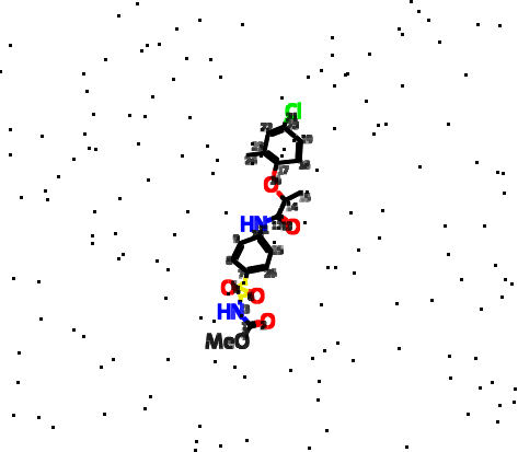 COC(=O)NS(=O)(=O)c1ccc(NC(=O)C(C)Oc2ccc(Cl)cc2C)cc1